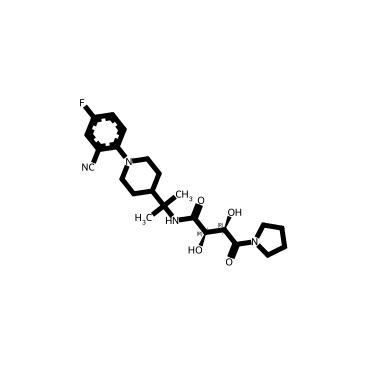 CC(C)(NC(=O)[C@H](O)[C@@H](O)C(=O)N1CCCC1)C1CCN(c2ccc(F)cc2C#N)CC1